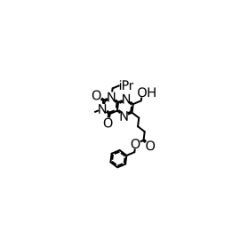 CC(C)Cn1c(=O)n(C)c(=O)c2nc(CCCC(=O)OCc3ccccc3)c(CO)nc21